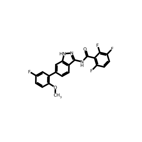 COc1ccc(F)cc1-c1ccc2c(NC(=O)c3c(F)ccc(F)c3F)n[nH]c2c1